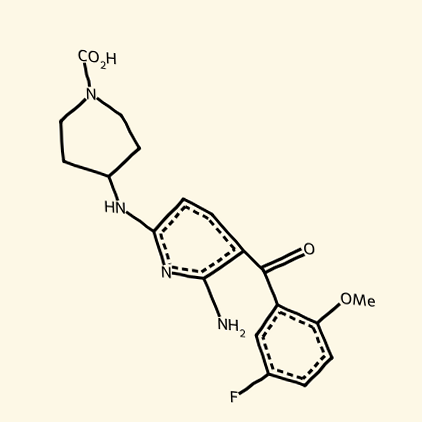 COc1ccc(F)cc1C(=O)c1ccc(NC2CCN(C(=O)O)CC2)nc1N